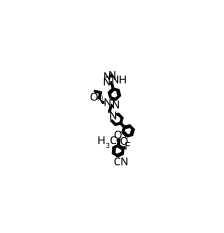 CC1(c2ccc(C#N)cc2F)Oc2cccc(C3CCN(Cc4nc5ccc(-c6nnn[nH]6)cc5n4C[C@@H]4CCO4)CC3)c2O1